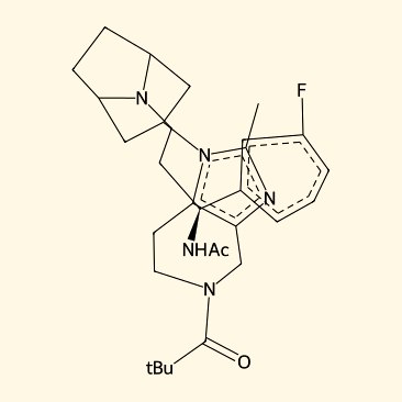 CC(=O)N[C@@H](CCN1C2CCC1CC(n1c(C)nc3c1CCN(C(=O)C(C)(C)C)C3)C2)c1cccc(F)c1